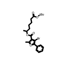 Cc1oc(-c2ccccc2)c(Br)c1C(=O)OC(C)CCCCC(=O)OC(C)(C)C